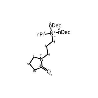 CCCCCCCCCC[N+](CCC)(CCCCCCCCCC)CCCN1CCCC1=O